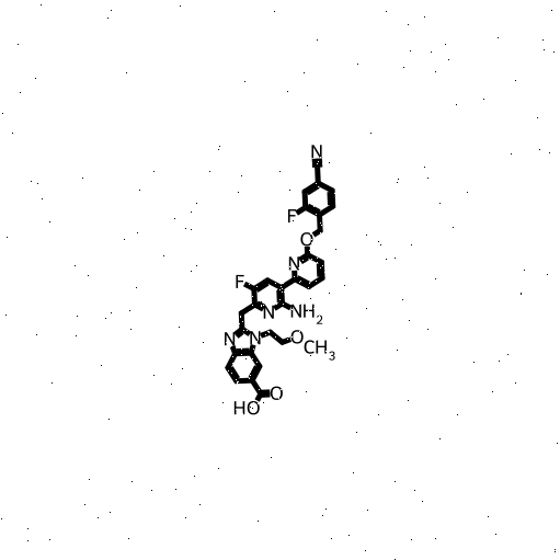 COCCn1c(Cc2nc(N)c(-c3cccc(OCc4ccc(C#N)cc4F)n3)cc2F)nc2ccc(C(=O)O)cc21